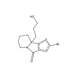 O=C1c2cc(Br)sc2C2(CCCO)CCCCN12